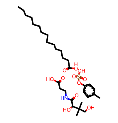 CC(C)(CO)C(O)C(=O)NCCC(=O)O.CCCCCCCCCCCCCCC(=O)O.Cc1ccc(OS(=O)(=O)O)cc1